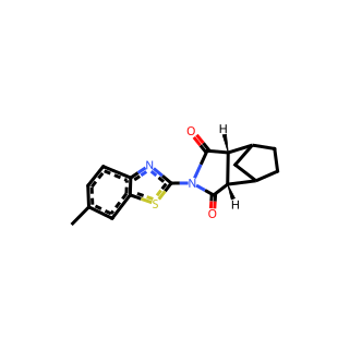 Cc1ccc2nc(N3C(=O)[C@@H]4C5CCC(C5)[C@@H]4C3=O)sc2c1